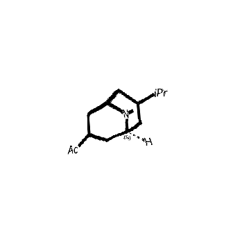 CC(=O)C1CC2CC(C(C)C)C[C@@H](C1)N2C